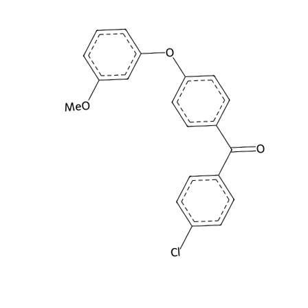 COc1cccc(Oc2ccc(C(=O)c3ccc(Cl)cc3)cc2)c1